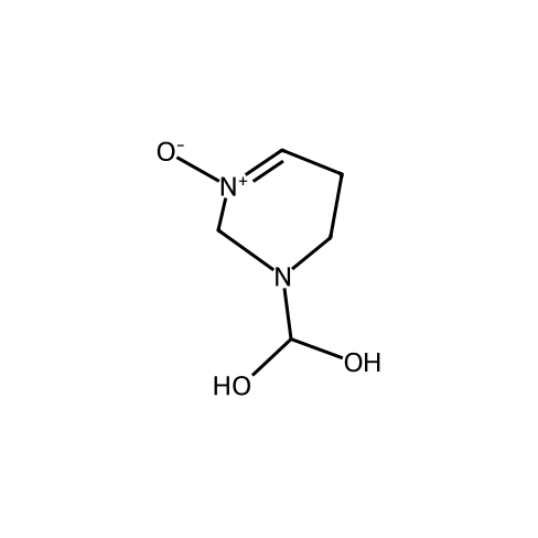 [O-][N+]1=CCCN(C(O)O)C1